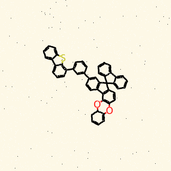 C1=CCC2Oc3c(ccc4c3-c3ccc(-c5cccc(-c6cccc7c6sc6ccccc67)c5)cc3C43c4ccccc4-c4ccccc43)OC2=C1